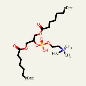 CCCCCCCCCCCCCCCC(=O)OCC(COC(=O)CCCCCCCCCCCCCCC)OP(=O)(O)OCC[N+](C)(C)C